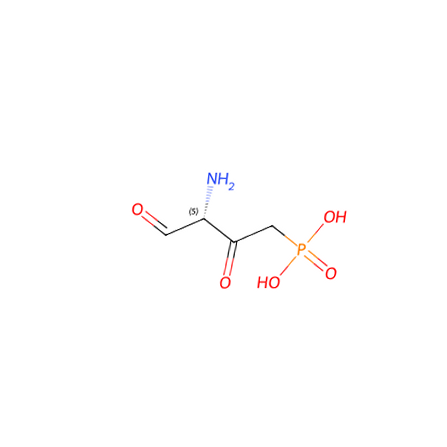 N[C@@H](C=O)C(=O)CP(=O)(O)O